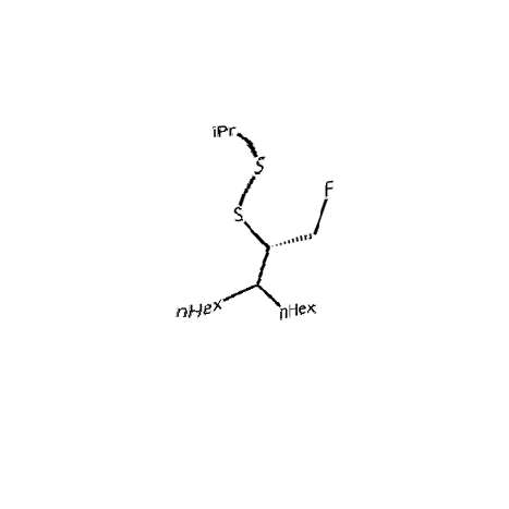 CCCCCCC(CCCCCC)[C@@H](CF)SSC(C)C